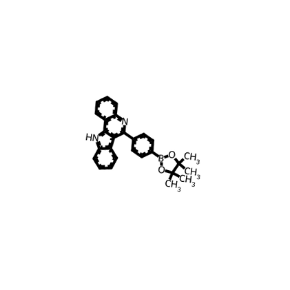 CC1(C)OB(c2ccc(-c3nc4ccccc4c4[nH]c5ccccc5c34)cc2)OC1(C)C